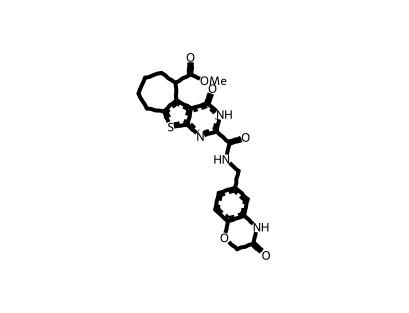 COC(=O)C1CCCCc2sc3nc(C(=O)NCc4ccc5c(c4)NC(=O)CO5)[nH]c(=O)c3c21